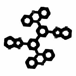 c1ccc2c(c1)Oc1ccccc1N2c1cc(-c2cc(-c3nc4cccnc4s3)cc(N3c4ccccc4Oc4ccccc43)c2)cc(-c2nc3cccnc3s2)c1